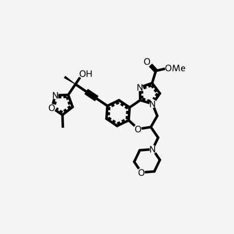 COC(=O)c1cn2c(n1)-c1cc(C#C[C@@](C)(O)c3cc(C)on3)ccc1OC(CN1CCOCC1)C2